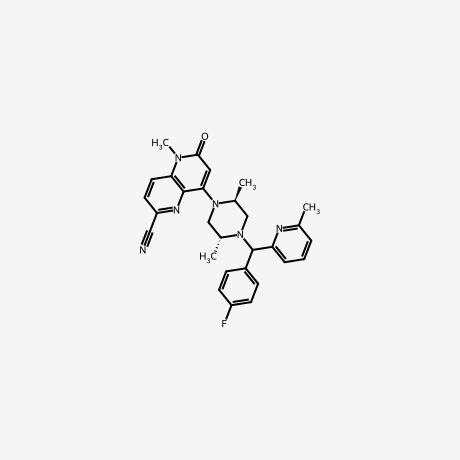 Cc1cccc(C(c2ccc(F)cc2)N2C[C@H](C)N(c3cc(=O)n(C)c4ccc(C#N)nc34)C[C@H]2C)n1